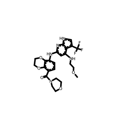 COCCNc1cc(Nc2ccc(C(=O)N3CCOCC3)c3c2OCCO3)nc2[nH]cc(C(F)(F)F)c12